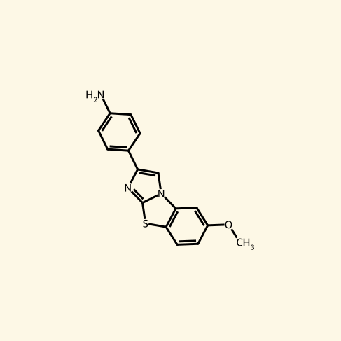 COc1ccc2sc3nc(-c4ccc(N)cc4)cn3c2c1